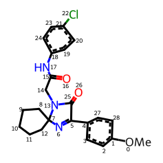 COc1ccc(C2=NC3(CCCCC3)N(CC(=O)Nc3ccc(Cl)cc3)C2=O)cc1